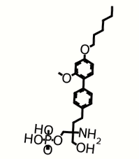 CCCCCCOc1ccc(-c2ccc(CCC(N)(CO)COP(=O)(O)O)cc2)c(OC)c1